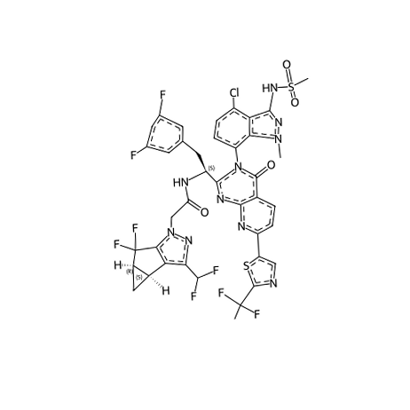 Cn1nc(NS(C)(=O)=O)c2c(Cl)ccc(-n3c([C@H](Cc4cc(F)cc(F)c4)NC(=O)Cn4nc(C(F)F)c5c4C(F)(F)[C@@H]4C[C@H]54)nc4nc(-c5cnc(C(C)(F)F)s5)ccc4c3=O)c21